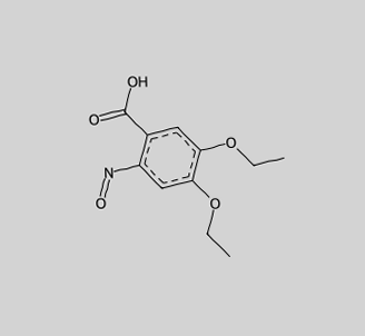 CCOc1cc(N=O)c(C(=O)O)cc1OCC